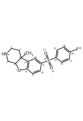 CC12CCNCC1Oc1ccc(S(=O)(=O)c3ccc(F)cc3)cc12